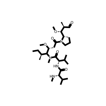 CC[C@H](C)C([C@@H](CC(=O)N1CCC[C@H]1[C@H](OC)[C@@H](C)C=O)OC)N(C)C(=O)[C@@H](NC(=O)[C@@H](NC)C(C)C)C(C)C